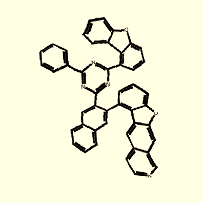 c1ccc(-c2nc(-c3cc4ccccc4cc3-c3cccc4oc5cc6cnccc6cc5c34)nc(-c3cccc4oc5ccccc5c34)n2)cc1